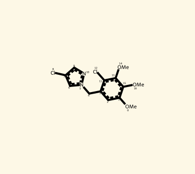 COc1cc(Cn2cc(Cl)cn2)c(Cl)c(OC)c1OC